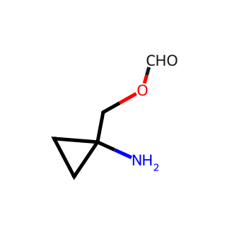 NC1(COC=O)CC1